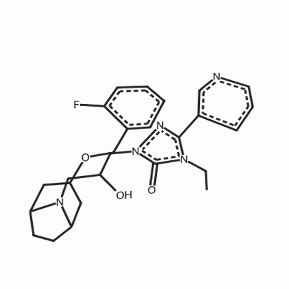 CCn1c(-c2cccnc2)nn(CC(O)CN2C3CCC2CC(OCc2ccccc2F)C3)c1=O